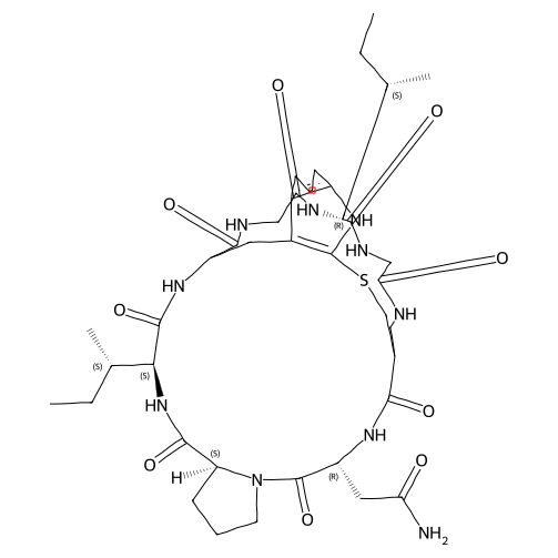 CC[C@H](C)[C@@H]1NC(=O)[C@@H]2CCCN2C(=O)[C@@H](CC(N)=O)NC(=O)C2CNC(=O)CNC(=O)[C@@H]([C@@H](C)CC)NC(=O)CNC(=O)C(Cc3c([nH]c4ccccc34)SC2)NC1=O